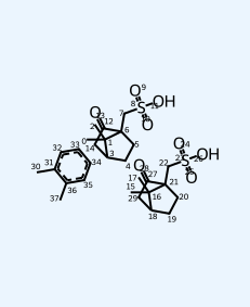 CC1(C)C2CCC1(CS(=O)(=O)O)C(=O)C2.CC1(C)C2CCC1(CS(=O)(=O)O)C(=O)C2.Cc1ccccc1C